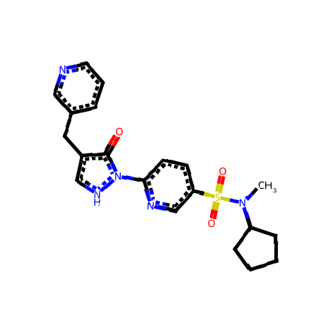 CN(C1CCCC1)S(=O)(=O)c1ccc(-n2[nH]cc(Cc3cccnc3)c2=O)nc1